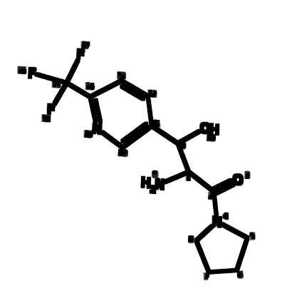 NC(C(=O)N1CCCC1)C(O)c1ccc(C(F)(F)F)nc1